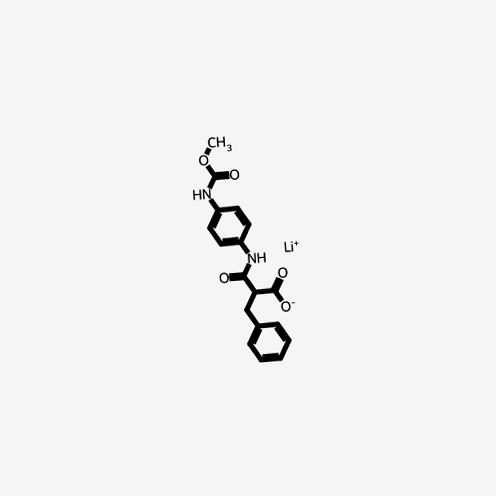 COC(=O)Nc1ccc(NC(=O)C(Cc2ccccc2)C(=O)[O-])cc1.[Li+]